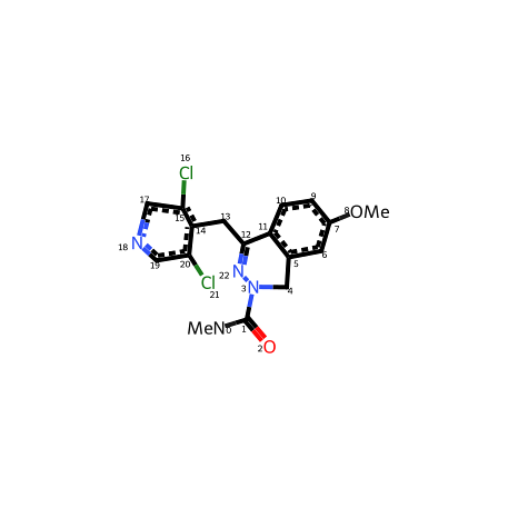 CNC(=O)N1Cc2cc(OC)ccc2C(Cc2c(Cl)cncc2Cl)=N1